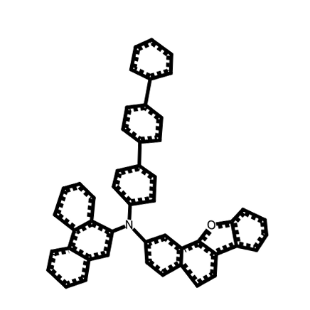 c1ccc(-c2ccc(-c3ccc(N(c4ccc5ccc6c7ccccc7oc6c5c4)c4cc5ccccc5c5ccccc45)cc3)cc2)cc1